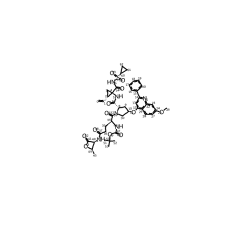 C=C[C@@H]1C[C@]1(NC(=O)[C@@H]1C[C@@H](Oc2cc(-c3ccccc3)nc3cc(OC)ccc23)CN1C(=O)[C@H](CCC(=O)N[C@@H]1C(=O)O[C@@H]1C)NC(=O)OC(C)(C)C)C(=O)NS(=O)(=O)C1CC1